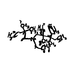 CCN(CC(C)(C)C)CC(C)(C)C(C)(C)C